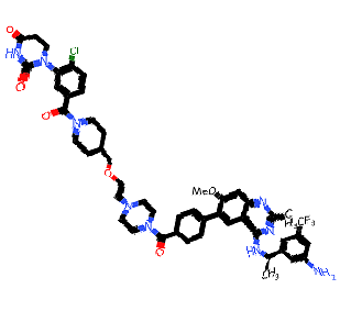 COc1cc2nc(C)nc(N[C@H](C)c3cc(N)cc(C(F)(F)F)c3)c2cc1C1=CCC(C(=O)N2CCN(CCOCC3CCN(C(=O)c4ccc(Cl)c(N5CCC(=O)NC5=O)c4)CC3)CC2)CC1